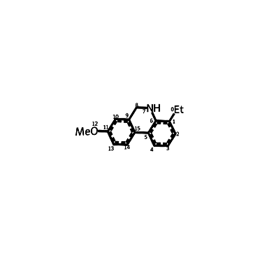 CCc1cccc2c1NCc1cc(OC)ccc1-2